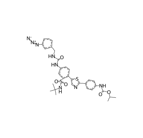 CC(C)OC(=O)Nc1ccc(-c2ncc(-c3ccc(NC(=O)NCc4cccc(N=[N+]=[N-])c4)cc3S(=O)(=O)NC(C)(C)C)s2)cc1